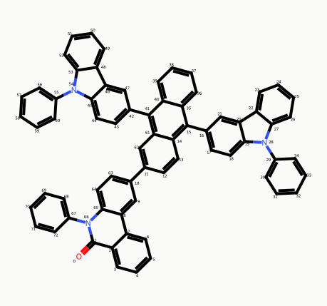 O=c1c2ccccc2c2cc(-c3ccc4c(-c5ccc6c(c5)c5ccccc5n6-c5ccccc5)c5ccccc5c(-c5ccc6c(c5)c5ccccc5n6-c5ccccc5)c4c3)ccc2n1-c1ccccc1